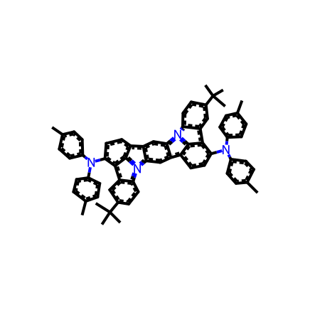 Cc1ccc(N(c2ccc(C)cc2)c2ccc3c4cc5c(cc4n4c6ccc(C(C)(C)C)cc6c2c34)c2ccc(N(c3ccc(C)cc3)c3ccc(C)cc3)c3c4cc(C(C)(C)C)ccc4n5c23)cc1